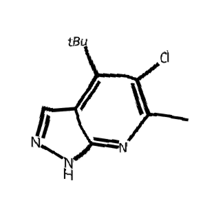 Cc1nc2[nH]ncc2c(C(C)(C)C)c1Cl